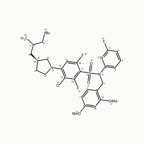 COc1ccc(CN(c2cccc(F)n2)S(=O)(=O)c2c(F)cc(N3CC[C@@H](CN(C)CC(C)(C)C)C3)c(Cl)c2F)c(OC)c1